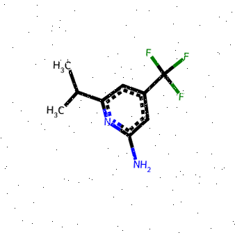 CC(C)c1cc(C(F)(F)F)cc(N)n1